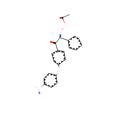 CC(=O)O/N=C(/C(=O)c1ccc(Sc2ccc([N+](=O)[O-])cc2)cc1)c1ccccc1